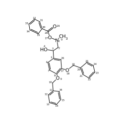 CN(CC(O)c1ccc(OCc2ccccc2)c(OCc2ccccc2)c1)OC(=O)c1ccccc1